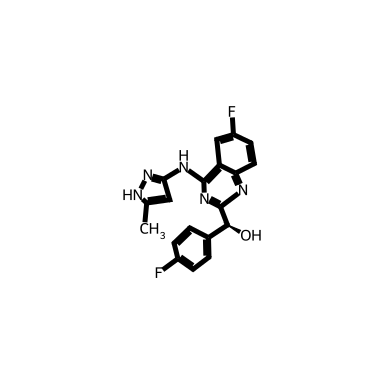 Cc1cc(Nc2nc([C@@H](O)c3ccc(F)cc3)nc3ccc(F)cc23)n[nH]1